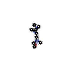 c1ccc(-c2nc(-c3ccc(-c4ccc5c(c4)nc(-c4ccccc4)c4cc6c(cc45)c4ccccc4n6-c4ccccc4)cc3)nc(-c3cccc4c3oc3ccccc34)n2)cc1